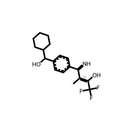 C/C(C(=N)c1ccc(C(O)C2CCCCC2)cc1)=C(/O)C(F)(F)F